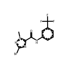 Cn1nc(Br)nc1C(=O)Nc1cccc(C(F)(F)F)c1